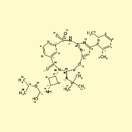 Cc1cccc(C)c1-c1cc2nc(n1)NS(=O)(=O)c1cccc(c1)C(=O)N([C@H]1C[C@@H](NC(O)OC(C)C)C1)[C@H](CC(C)(C)C)CO2